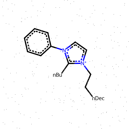 CCCCCCCCCCCC[n+]1ccn(-c2ccccc2)c1CCCC